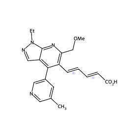 CCn1ncc2c(-c3cncc(C)c3)c(/C=C/C=C/C(=O)O)c(COC)nc21